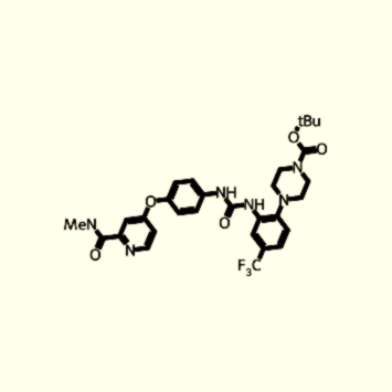 CNC(=O)c1cc(Oc2ccc(NC(=O)Nc3cc(C(F)(F)F)ccc3N3CCN(C(=O)OC(C)(C)C)CC3)cc2)ccn1